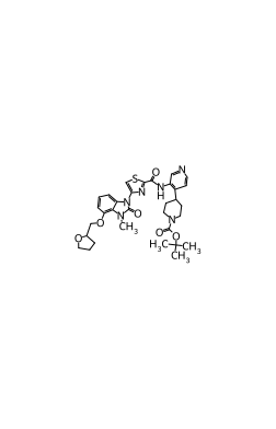 Cn1c(=O)n(-c2csc(C(=O)Nc3cnccc3C3CCN(C(=O)OC(C)(C)C)CC3)n2)c2cccc(OCC3CCCO3)c21